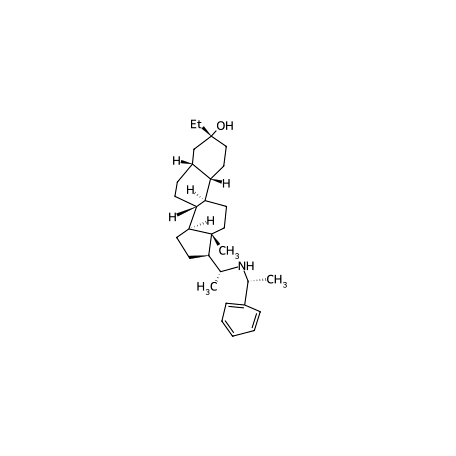 CC[C@@]1(O)CC[C@H]2[C@H](CC[C@@H]3[C@@H]2CC[C@]2(C)[C@@H]([C@@H](C)N[C@H](C)c4ccccc4)CC[C@@H]32)C1